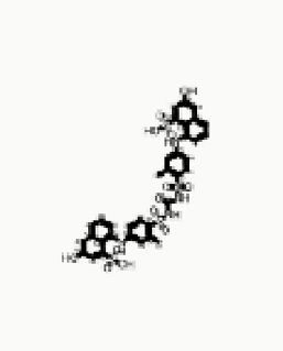 Cc1cc(Nc2cccc3cc(O)cc(S(=O)(=O)O)c23)ccc1S(=O)(=O)NC(=O)NS(=O)(=O)c1ccc(Nc2cccc3cc(O)cc(S(=O)(=O)O)c23)cc1C